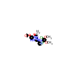 C=CC(=O)Nc1cc(OC2COC2)ccc1Nc1cc(-c2cccnc2Nc2c(Cl)c(OC)cc(OC)c2Cl)ncn1